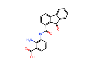 Nc1c(NC(=O)c2cccc3c2C(=O)c2ccccc2-3)cccc1C(=O)O